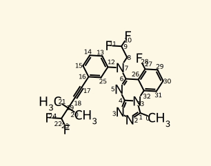 Cc1nnc2nc(N(CC(F)F)c3cccc(C#CC(C)(C)C(F)F)c3)c3c(F)cccc3n12